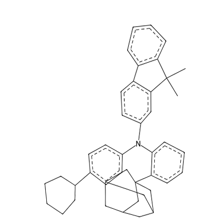 CC1(C)c2ccccc2-c2ccc(N(c3ccc(C4CCCCC4)cc3)c3ccccc3C34CC5CC(CC(C5)C3)C4)cc21